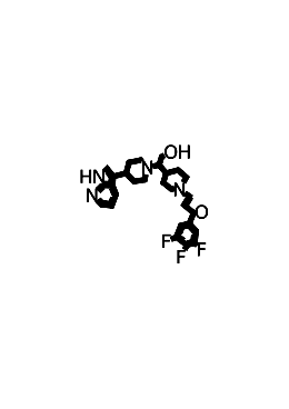 O=C(C=CN1CCC(C(CO)N2CCC(c3c[nH]c4ncccc34)CC2)CC1)c1cc(F)c(F)c(F)c1